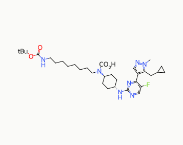 Cn1ncc(-c2nc(N[C@H]3CC[C@H](N(CCCCCCCCNC(=O)OC(C)(C)C)C(=O)O)CC3)ncc2F)c1CC1CC1